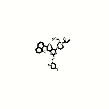 C=CC(=O)N1CCN(c2nc(OC[C@@H]3C[C@H](F)CN3C)nc3c2COC(c2cccc4cccc(Cl)c24)C3)C[C@@H]1CC#N